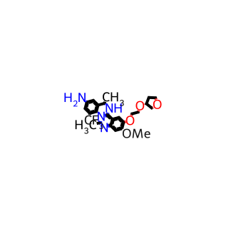 COc1cc2nc(C)nc(NC(C)c3cc(N)cc(C(F)(F)F)c3)c2cc1OCCO[C@@H]1CCOC1